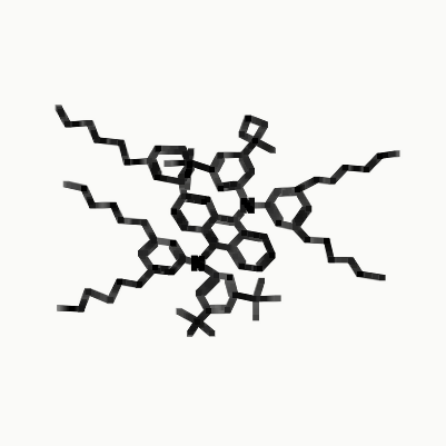 CCCCCCc1cccc(-c2ccc3c(N(c4cc(CCCCCC)cc(CCCCCC)c4)c4cc(C(C)(C)C)cc(C(C)(C)C)c4)c4ccccc4c(N(c4cc(CCCCCC)cc(CCCCCC)c4)c4cc(C(C)(C)C)cc(C5(C)CCC5)c4)c3c2)c1